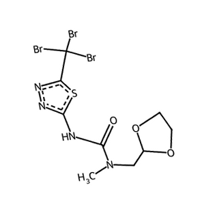 CN(CC1OCCO1)C(=O)Nc1nnc(C(Br)(Br)Br)s1